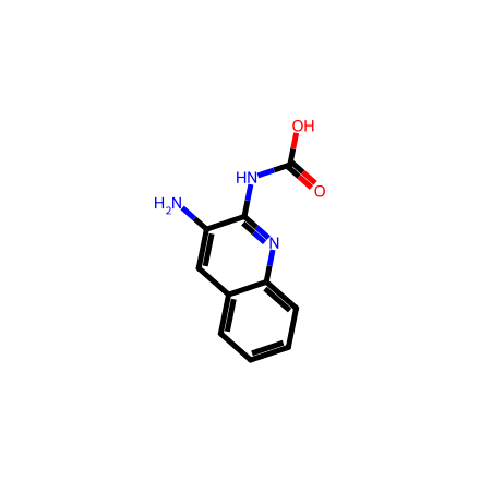 Nc1cc2ccccc2nc1NC(=O)O